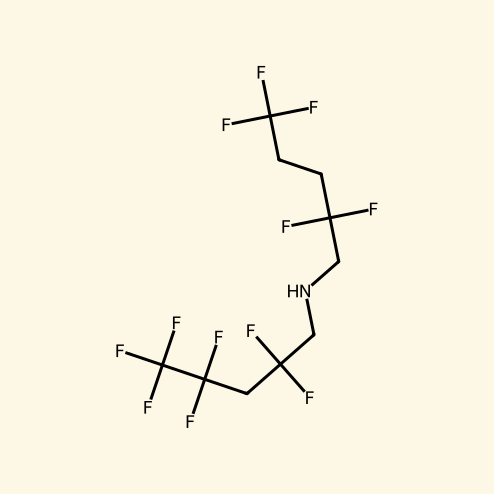 FC(F)(F)CCC(F)(F)CNCC(F)(F)CC(F)(F)C(F)(F)F